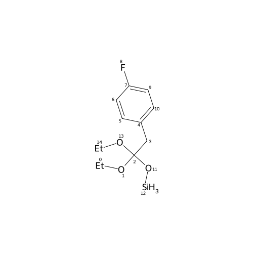 CCOC(Cc1ccc(F)cc1)(O[SiH3])OCC